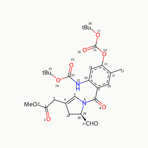 COC(=O)CC1=CN(C(=O)c2cc(C)c(OC(=O)OC(C)(C)C)cc2NC(=O)OC(C)(C)C)[C@@H](C=O)C1